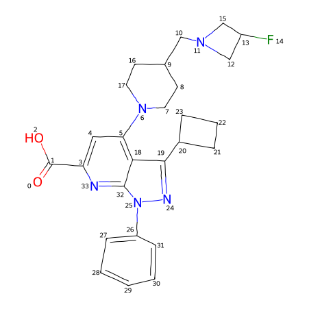 O=C(O)c1cc(N2CCC(CN3CC(F)C3)CC2)c2c(C3CCC3)nn(-c3ccccc3)c2n1